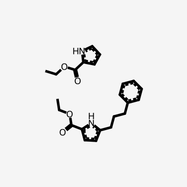 CCOC(=O)c1ccc(CCCc2ccccc2)[nH]1.CCOC(=O)c1ccc[nH]1